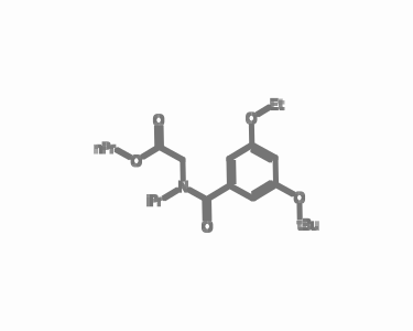 CCCOC(=O)CN(C(=O)c1cc(OCC)cc(OC(C)(C)C)c1)C(C)C